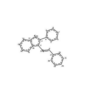 C(=Nc1c(-c2ccccc2)sc2ccccc12)c1ccccc1